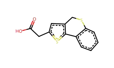 O=C(O)Cc1cc2c(s1)-c1ccccc1SC2